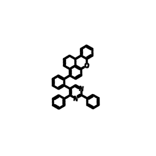 C1=Cc2c(-c3ccccc3-c3cnc(-c4ccccc4)nc3-c3ccccc3)ccc3c2C(C1)c1ccccc1O3